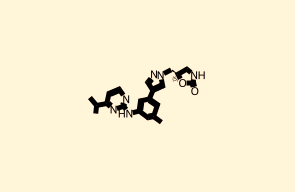 Cc1cc(Nc2nccc(C(C)C)n2)cc(-c2cnn(C[C@@H]3CNC(=O)O3)c2)c1